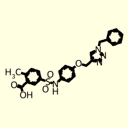 Cc1ccc(S(=O)(=O)Nc2ccc(OCc3cn(Cc4ccccc4)nn3)cc2)cc1C(=O)O